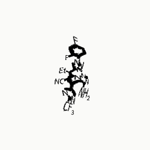 CC[C@@H](c1cn(-c2ccc(F)cc2F)nn1)c1c(C#N)c(-c2cnc(C(F)(F)F)nc2)c2c(N)ncnn12